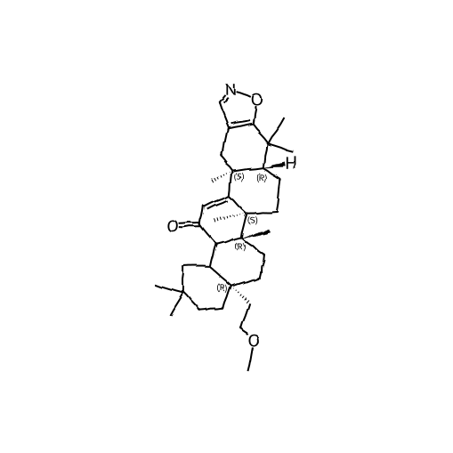 COCC[C@]12CCC(C)(C)CC1C1C(=O)C=C3[C@@]4(C)Cc5cnoc5C(C)(C)[C@@H]4CC[C@@]3(C)[C@]1(C)CC2